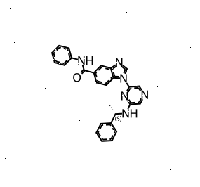 C[C@H](Nc1cncc(-n2cnc3cc(C(=O)Nc4ccccc4)ccc32)n1)c1ccccc1